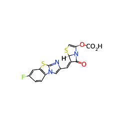 O=C(O)OC1=CS[C@@H]2/C(=C\c3cn4c(n3)sc3cc(F)ccc34)C(=O)N12